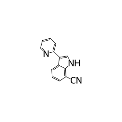 N#Cc1cccc2c(-c3ccccn3)c[nH]c12